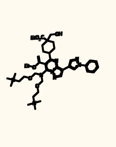 C=C(OCC)c1c(C2CCC(CO)(C(=O)OCC)CC2)nc2c(-c3cnn(-c4ccccc4)c3)cnn2c1N(COCC[Si](C)(C)C)COCC[Si](C)(C)C